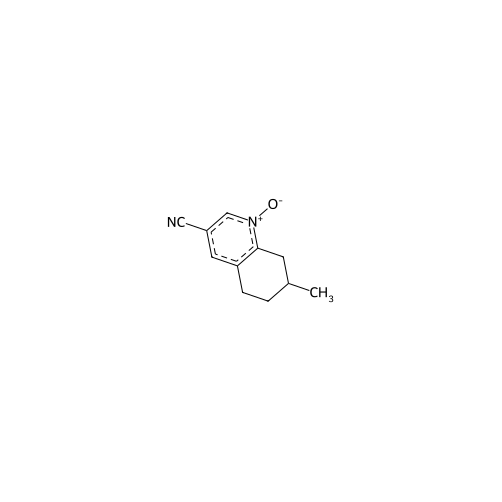 CC1CCc2cc(C#N)c[n+]([O-])c2C1